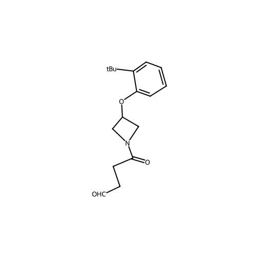 CC(C)(C)c1ccccc1OC1CN(C(=O)CCC=O)C1